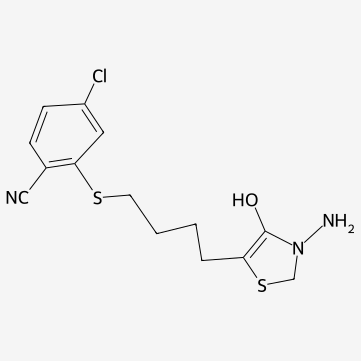 N#Cc1ccc(Cl)cc1SCCCCC1=C(O)N(N)CS1